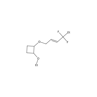 CCOC1CCC1OC/C=C/C(F)(F)CC